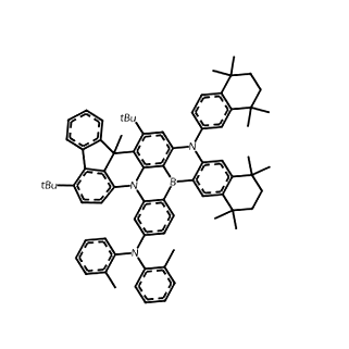 Cc1ccccc1N(c1ccc2c(c1)N1c3ccc(C(C)(C)C)c4c3C(C)(c3ccccc3-4)c3c(C(C)(C)C)cc4c(c31)B2c1cc2c(cc1N4c1ccc3c(c1)C(C)(C)CCC3(C)C)C(C)(C)CCC2(C)C)c1ccccc1C